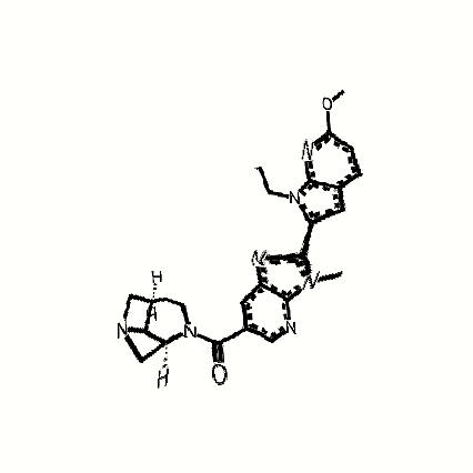 CCn1c(-c2nc3cc(C(=O)N4C[C@@H]5CN6C[C@H]4[C@H]56)cnc3n2C)cc2ccc(OC)nc21